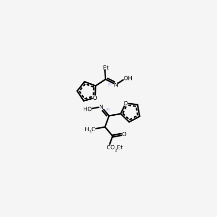 CC/C(=N\O)c1ccco1.CCOC(=O)C(=O)C(C)/C(=N\O)c1ccco1